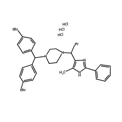 Cc1[nH]c(-c2ccccc2)nc1C(C(C)C)N1CCN(C(c2ccc(C(C)(C)C)cc2)c2ccc(C(C)(C)C)cc2)CC1.Cl.Cl.Cl